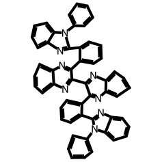 c1ccc(-n2c(-c3ccccc3-c3nc4ccccc4nc3-c3nc4ccccc4nc3-c3ccccc3-c3nc4ccccc4n3-c3ccccc3)nc3ccccc32)cc1